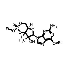 CCOc1nc(N)nc2c1ncn2[C@@H]1O[C@@H]2COP(=S)(OCC)O[C@H]2[C@@]1(C)O